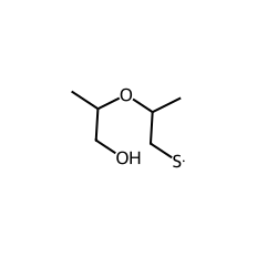 CC(CO)OC(C)C[S]